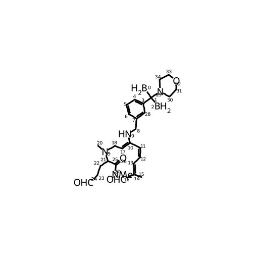 BC(B)(c1cccc(CNC(/C=C\C=C(/C)C=O)=C\CN(C)C(CCC=O)C(=O)NC)c1)N1CCOCC1